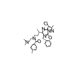 Cc1ccc(C(=O)N(CCC(C)c2nc3c(Cl)c(C)nn3c(=O)n2Cc2ccccc2)CCN(C)C)cc1